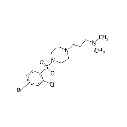 CN(C)CCCN1CCN(S(=O)(=O)c2ccc(Br)cc2Cl)CC1